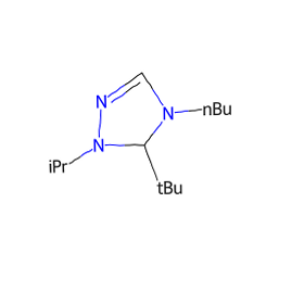 CCCCN1C=NN(C(C)C)C1C(C)(C)C